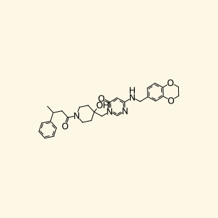 CC(CC(=O)N1CCC(O)(Cn2cnc(NCc3ccc4c(c3)OCCO4)cc2=O)CC1)c1ccccc1